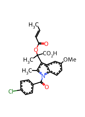 C/C=C/C(=O)OC(C)(C(=O)O)c1c(C)n(C(=O)c2ccc(Cl)cc2)c2ccc(OC)cc12